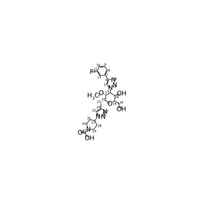 CO[C@@H]1[C@@H](n2cc(-c3cccc(F)c3)nn2)[C@@H](O)[C@@H](CO)O[C@@H]1Cc1cn(C2CCN(C(=O)O)CC2)nn1